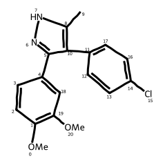 COc1ccc(-c2n[nH]c(C)c2-c2ccc(Cl)cc2)cc1OC